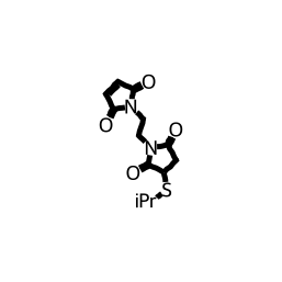 CC(C)SC1CC(=O)N(CCN2C(=O)C=CC2=O)C1=O